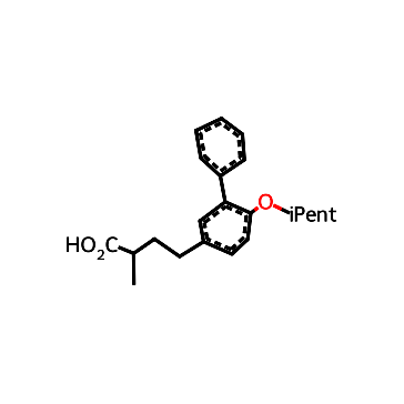 CCCC(C)Oc1ccc(CCC(C)C(=O)O)cc1-c1ccccc1